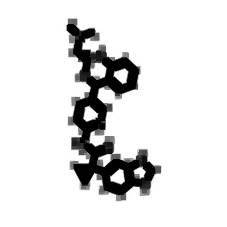 COc1ccccc1C(OCCN(C)C)c1ccc(NC(=O)C2(c3ccc4c(c3)OCO4)CC2)nc1